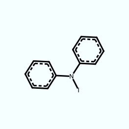 IN(c1ccccc1)c1ccccc1